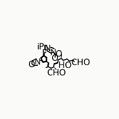 C/C(=C\c1cc(F)cc(N2CCOCC2)c1)[C@H](C=O)[C@H](C)/C=C/[C@H](OC(=O)N1CCN(C(C)C)CC1)[C@@H](C)CC[C@H](O)CC=O